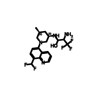 C[C@H]1C[C@@H](NC(O)C(N)C(F)(F)F)CN(c2ccc(C(F)F)c3ncccc23)C1